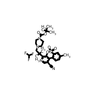 Cc1ccc2c(c1)S(=O)(=O)Oc1c(C(C)(C)CN3CCN(C(=O)OC(C)(C)C)CC3)ncc(C#N)c1-2.FC(F)F